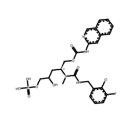 CN(C(=O)NCc1cccc(F)c1Cl)[C@H](COC(=O)Nc1cc2ccccc2cn1)CC(O)COP(=O)(O)O